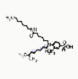 C=C(C)/C=C/C=C/C=C(\C)N(CCCCCC(=O)NCCCCCCC)c1ccc(S(=O)(=O)O)cc1C